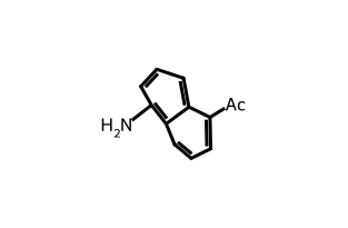 CC(=O)c1cccc2c(N)cccc12